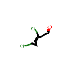 O=C/C(Cl)=C/Cl